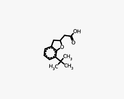 CC(C)(C)c1cccc2c1OC(CC(=O)O)C2